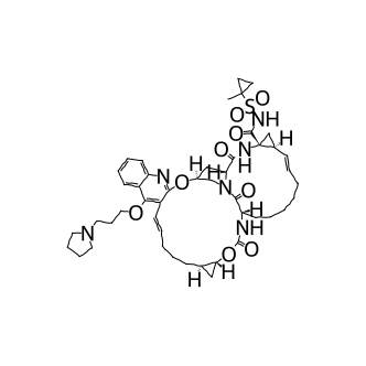 CC1(S(=O)(=O)NC(=O)[C@@]23C[C@H]2/C=C/CCCCC[C@@H]2NC(=O)O[C@@H]4C[C@H]4CCC/C=C/c4c(nc5ccccc5c4OCCCN4CCCC4)O[C@H]4C[C@H](C(=O)N3)N(C4)C2=O)CC1